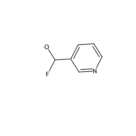 [O]C(F)c1cccnc1